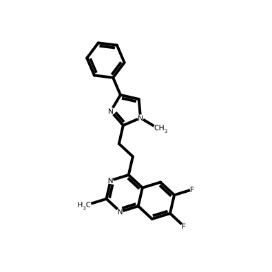 Cc1nc(CCc2nc(-c3ccccc3)cn2C)c2cc(F)c(F)cc2n1